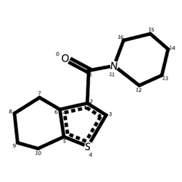 O=C(c1[c]sc2c1CCCC2)N1CCCCC1